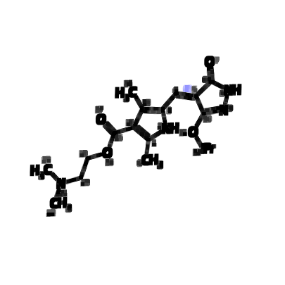 Cc1[nH]c(/C=C2/C(=O)NN=C2OC(C)C)c(C)c1C(=O)OCCN(C)C